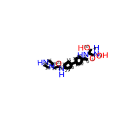 C=C(N[C@H](C(=O)NO)[C@@H](C)O)c1ccc(-c2ccc(NC(=O)CN3CCNCC3)cc2)cc1